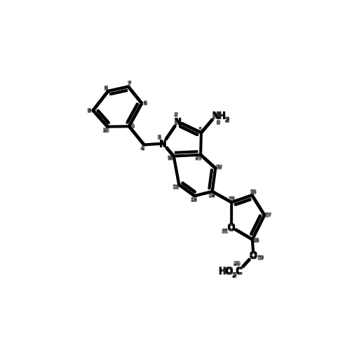 Nc1nn(Cc2ccccc2)c2ccc(-c3ccc(OC(=O)O)o3)cc12